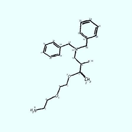 CC(OCCOCCN)C(F)CN(Cc1ccccc1)Cc1ccccc1